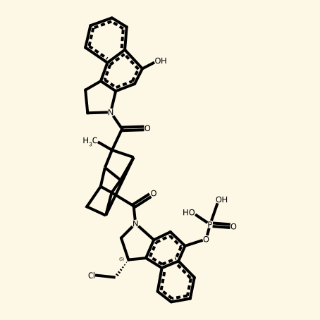 CC1(C(=O)N2CCc3c2cc(O)c2ccccc32)C2C3CC4C1C2C34C(=O)N1C[C@@H](CCl)c2c1cc(OP(=O)(O)O)c1ccccc21